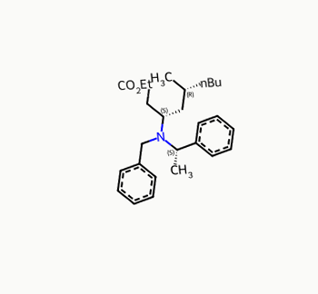 CCCC[C@@H](C)C[C@@H](CC(=O)OCC)N(Cc1ccccc1)[C@@H](C)c1ccccc1